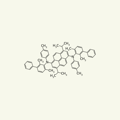 Cc1ccc(N(c2c(C)ccc(-c3ccccc3)c2C)c2cc(C(C)C)c3ccc4c(N(c5ccc(C)cc5)c5c(C)ccc(-c6ccccc6)c5C)cc(C(C)C)c5ccc2c3c54)cc1